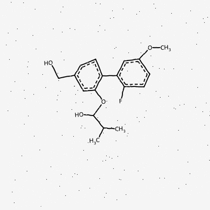 COc1ccc(F)c(-c2ccc(CO)cc2OC(O)C(C)C)c1